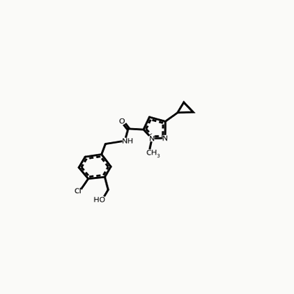 Cn1nc(C2CC2)cc1C(=O)NCc1ccc(Cl)c(CO)c1